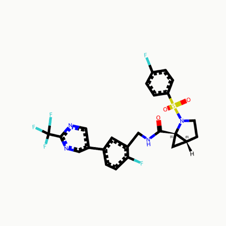 O=C(NCc1cc(-c2cnc(C(F)(F)F)nc2)ccc1F)[C@]12C[C@H]1CCN2S(=O)(=O)c1ccc(F)cc1